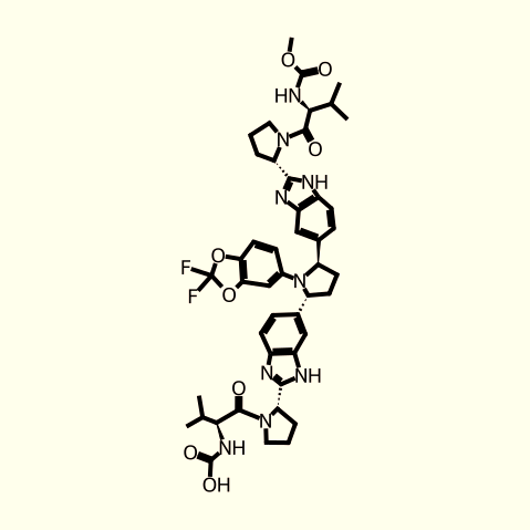 COC(=O)N[C@H](C(=O)N1CCC[C@H]1c1nc2cc([C@H]3CC[C@H](c4ccc5nc([C@@H]6CCCN6C(=O)[C@@H](NC(=O)O)C(C)C)[nH]c5c4)N3c3ccc4c(c3)OC(F)(F)O4)ccc2[nH]1)C(C)C